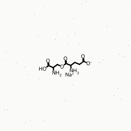 NC(COC(=O)C(N)CCC(=O)[O-])C(=O)O.[Na+]